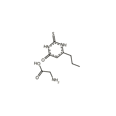 CCCc1cc(=O)[nH]c(=S)[nH]1.NCC(=O)O